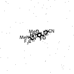 CNc1nc(Nc2cc(F)c(C(=O)N3CCC(C#N)C3)cc2OC)ncc1C(F)(F)F